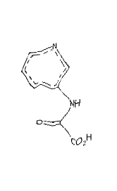 O=C(O)C(=O)Nc1cccnc1